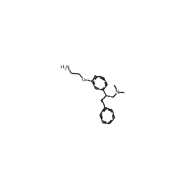 CN(C)CC(Cc1ccccc1)c1cccc(OCCN)c1